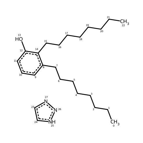 CCCCCCCCc1cccc(O)c1CCCCCCCC.c1c[nH]nn1